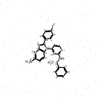 C[C@H](Nc1nccc(-n2c(-c3ccc(F)cc3)nc3nc(N)ccc32)n1)c1ccccc1